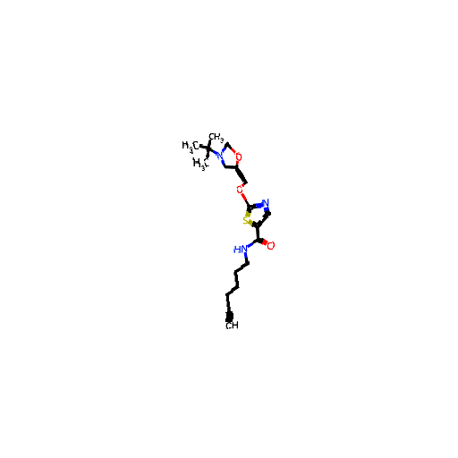 C#CCCCCNC(=O)c1cnc(OC=C2CN(C(C)(C)C)CO2)s1